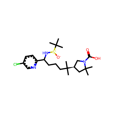 CC(C)(CCCC(N[S+]([O-])C(C)(C)C)c1ccc(Cl)cn1)[C@H]1CN(C(=O)O)C(C)(C)C1